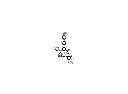 C=CC(=O)N(c1cc(C(=O)NCc2c(CCC)cc(C)[nH]c2=O)cc(-c2ccc(N3CCN(C)CC3)nc2)c1)C1CCOCC1